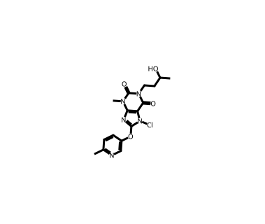 Cc1ccc(Oc2nc3c(c(=O)n(CCC(C)O)c(=O)n3C)n2Cl)cn1